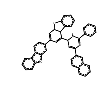 C1=C(c2ccc3c(c2)oc2ccccc23)C=C(C2N=C(c3ccc4ccccc4c3)N=C(c3ccccc3)N2)C2c3ccccc3OC12